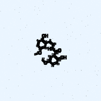 COc1ccc(O)c(/C=N\NC(=O)c2cc(OC)ccc2O)c1